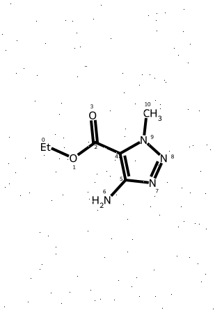 CCOC(=O)c1c(N)nnn1C